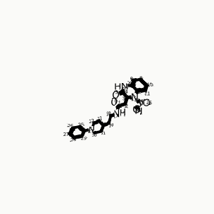 O=C(CC1C(=O)Nc2ccccc2N1[SH](=O)=O)NCCC1CCN(c2ccccc2)CC1